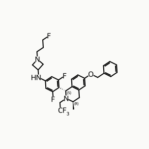 C[C@@H]1Cc2cc(OCc3ccccc3)ccc2[C@@H](c2c(F)cc(NC3CN(CCCF)C3)cc2F)N1CC(F)(F)F